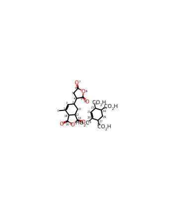 CC1=CC(C2CC(=O)OC2=O)CC2C(=O)OC(=O)C12.O=C(O)C1=CC(C(=O)O)C(C(=O)O)CC1C(=O)O